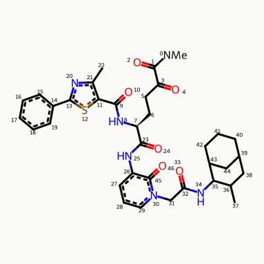 CNC(=O)C(=O)CC[C@H](NC(=O)c1sc(-c2ccccc2)nc1C)C(=O)Nc1cccn(CC(=O)NC2C(C)CC3CCCC2C3)c1=O